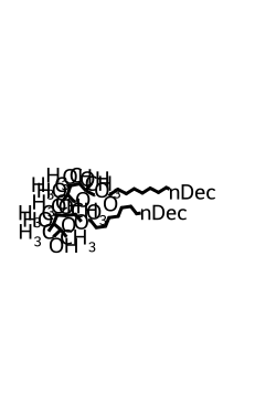 CCCCCCCCCCCCCCCCCC(=O)OCC1(C)OC(C)(OC2(COC(=O)CCCCCCCCCCCCCCCCC)OC(C)(CO)C(C)(O)C2(C)O)C(C)(O)C(C)(O)C1(C)O